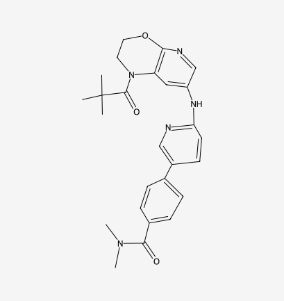 CN(C)C(=O)c1ccc(-c2ccc(Nc3cnc4c(c3)N(C(=O)C(C)(C)C)CCO4)nc2)cc1